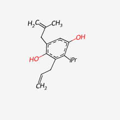 C=CCc1c(O)c(CC(=C)C)cc(O)c1C(C)C